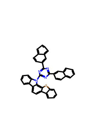 c1ccc2cc(-c3nc(-c4ccc5ccccc5c4)nc(-n4c5ccccc5c5ccc6c7ccccc7sc6c54)n3)ccc2c1